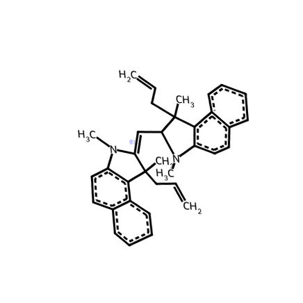 C=CCC1(C)/C(=C\C2N(C)c3ccc4ccccc4c3C2(C)CC=C)N(C)c2ccc3ccccc3c21